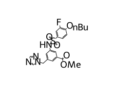 CCCCOc1ccc(S(=O)(=O)Nc2cc(Cn3cncn3)cc(C(=O)OC)c2)cc1F